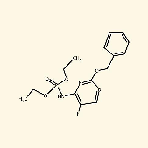 CCOP(=O)(Nc1nc(OCc2ccccc2)ncc1F)OCC